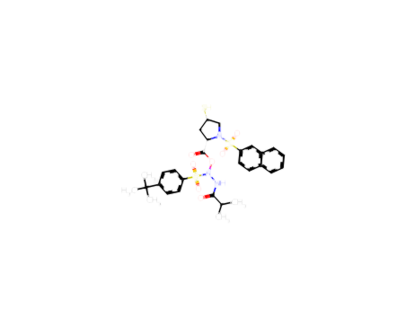 CC(C)C(=O)NN(OC(=O)[C@@H]1C[C@@H](S)CN1S(=O)(=O)c1ccc2ccccc2c1)S(=O)(=O)c1ccc(C(C)(C)C)cc1